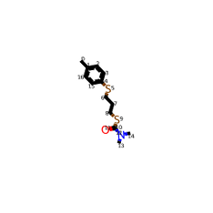 Cc1ccc(SCCCSC(=O)N(C)C)cc1